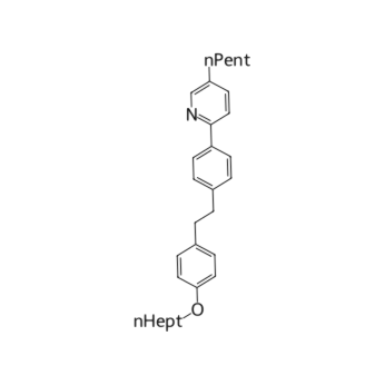 CCCCCCCOc1ccc(CCc2ccc(-c3ccc(CCCCC)cn3)cc2)cc1